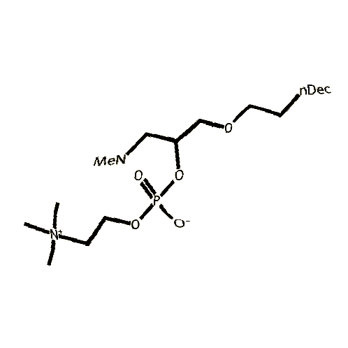 CCCCCCCCCCCCOCC(CNC)OP(=O)([O-])OCC[N+](C)(C)C